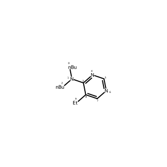 CCCCN(CCCC)c1ncncc1CC